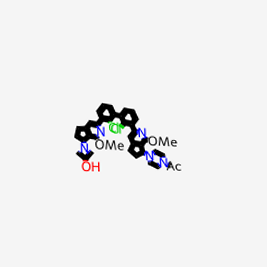 COc1nc(-c2cccc(-c3cccc(-c4cc5c(c(OC)n4)C(N4CC(O)C4)CC5)c3Cl)c2Cl)cc2c1C(N1CCN(C(C)=O)CC1)CC2